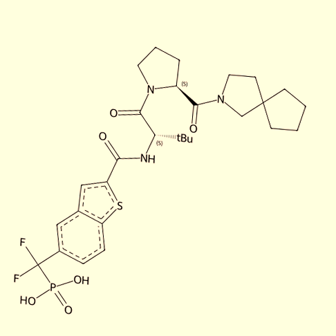 CC(C)(C)[C@H](NC(=O)c1cc2cc(C(F)(F)P(=O)(O)O)ccc2s1)C(=O)N1CCC[C@H]1C(=O)N1CCC2(CCCC2)C1